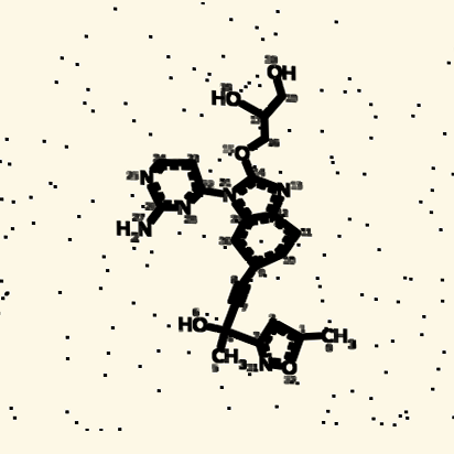 Cc1cc(C(C)(O)C#Cc2ccc3nc(OCC(O)CO)n(-c4ccnc(N)n4)c3c2)no1